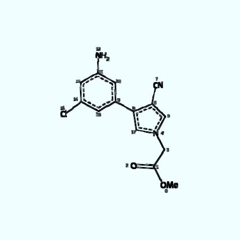 COC(=O)Cn1cc(C#N)c(-c2cc(N)cc(Cl)c2)c1